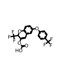 O=C(O)OC1=Cc2cc(Oc3ccc(C(F)(F)F)cc3)ccc2OC1C(F)(F)F